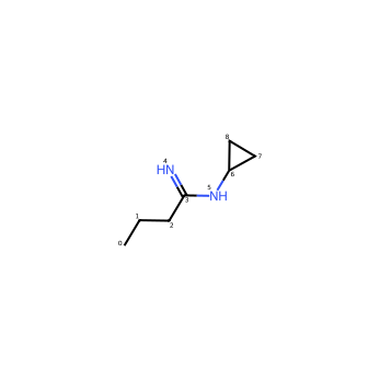 CCCC(=N)NC1CC1